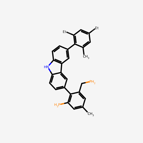 CCc1cc(C)c(-c2ccc3[nH]c4ccc(-c5c(P)cc(C)cc5CP)cc4c3c2)c(CC)c1